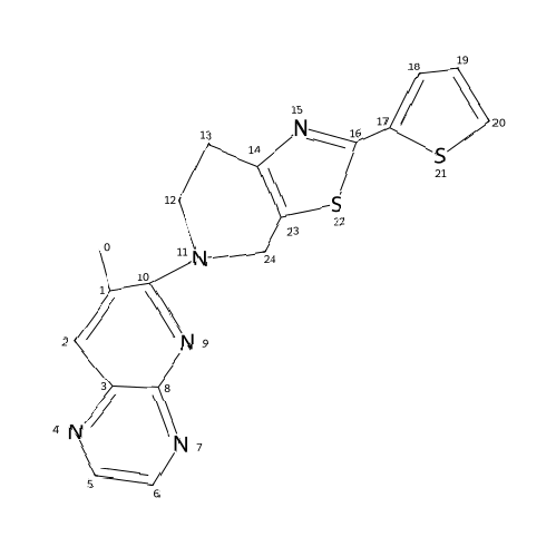 Cc1cc2nccnc2nc1N1CCc2nc(-c3cccs3)sc2C1